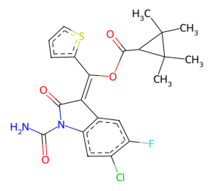 CC1(C)C(C(=O)OC(=C2C(=O)N(C(N)=O)c3cc(Cl)c(F)cc32)c2cccs2)C1(C)C